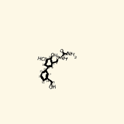 Cl.NC(=O)N/N=C/c1cc(-c2cccc(CO)c2)ccc1O